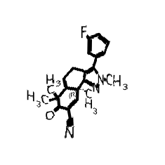 Cn1nc2c(c1-c1cccc(F)c1)CCC1C(C)(C)C(=O)C(C#N)=C[C@]21C